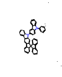 c1ccc(-n2c3ccccc3c3cc(-n4c5ccccc5c5cc6c(cc54)C4(c5ccccc5-c5ccccc54)c4ccccc4-6)ccc32)cc1